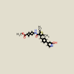 COC(=O)C1CC2(CC(NC(=O)c3c(C)sc(C)c3Cc3ccc(-c4ccnc(O)c4)cc3)C2)C1